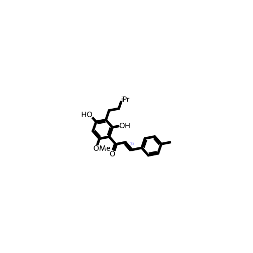 COc1cc(O)c(CCC(C)C)c(O)c1C(=O)/C=C/c1ccc(C)cc1